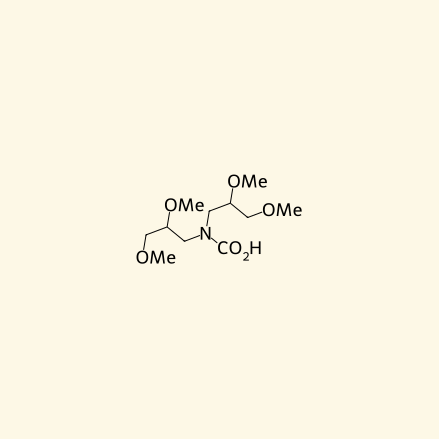 COCC(CN(CC(COC)OC)C(=O)O)OC